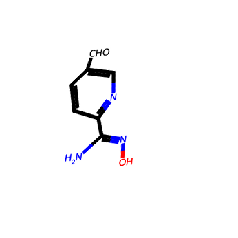 NC(=NO)c1ccc(C=O)cn1